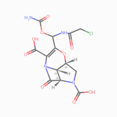 NC(=O)OC(NC(=O)CCl)C1=C(C(=O)O)N2C(=O)[C@@H]3[C@H]2[C@@H](CN3C(=O)O)O1